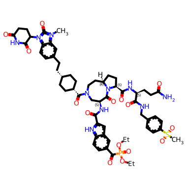 CCOP(=O)(OCC)C(=O)c1ccc2[nH]c(C(=O)N[C@H]3CN(C(=O)[C@H]4CC[C@@H](CCc5ccc6c(c5)n(C)c(=O)n6C5CCC(=O)NC5=O)CC4)CC[C@H]4CC[C@@H](C(=O)N[C@@H](CCC(N)=O)C(=O)NCc5ccc(S(C)(=O)=O)cc5)N4C3=O)cc2c1